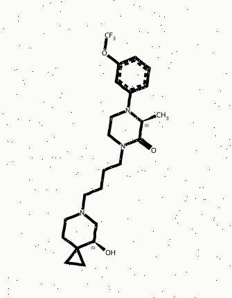 C[C@H]1C(=O)N(CCCCN2CCC3(CC3)[C@H](O)C2)CCN1c1cccc(OC(F)(F)F)c1